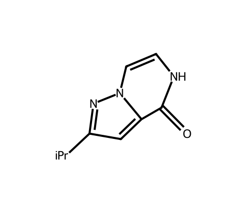 CC(C)c1cc2c(=O)[nH]ccn2n1